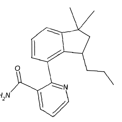 CCCC1CC(C)(C)c2cccc(-c3ncccc3C(N)=O)c21